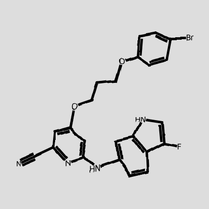 N#Cc1cc(OCCCOc2ccc(Br)cc2)cc(Nc2ccc3c(F)c[nH]c3c2)n1